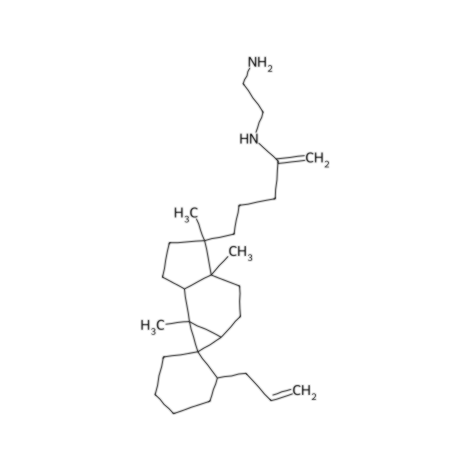 C=CCC1CCCCC12C1CCC3(C)C(CCC3(C)CCCC(=C)NCCN)C12C